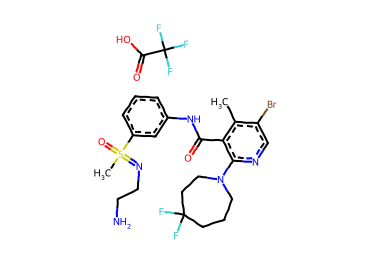 Cc1c(Br)cnc(N2CCCC(F)(F)CC2)c1C(=O)Nc1cccc(S(C)(=O)=NCCN)c1.O=C(O)C(F)(F)F